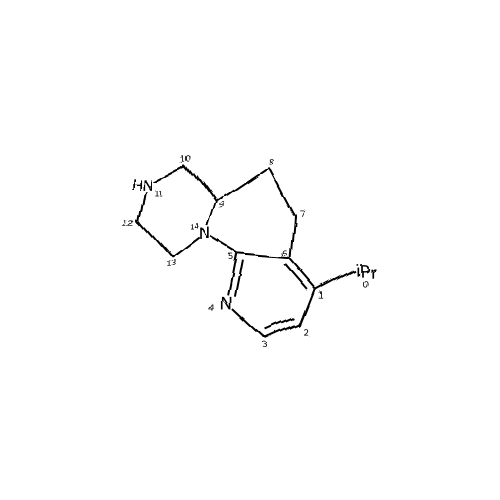 CC(C)c1ccnc2c1CCC1CNCCN21